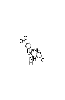 COC(=O)c1ccc([C@@H]2Nc3ccc(Cl)cc3[C@@H]3NCC[C@@H]23)cc1